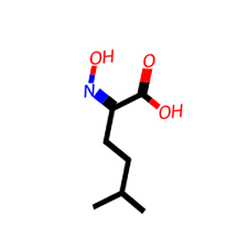 CC(C)CC/C(=N/O)C(=O)O